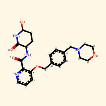 O=C(NC1CCC(O)NC1=O)c1ncccc1OCc1ccc(CN2CCOCC2)cc1